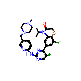 CC(C)N1C(=O)CSc2c(F)cc(-c3nc(Nc4ccc(CN5CCN(C)CC5)cn4)ncc3F)cc21